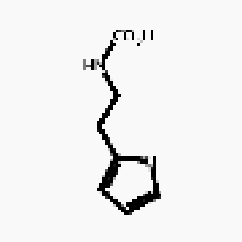 O=C(O)NCCc1ccco1